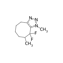 CC1CCCCc2nnn(C)c2C1(F)F